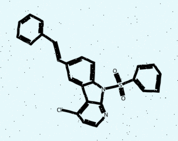 O=S(=O)(c1ccccc1)n1c2ccc(/C=C/c3ccccc3)cc2c2c(Cl)ccnc21